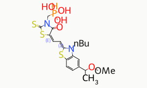 CCCCN1/C(=C/C=C2/SC(=S)N(C[PH](O)(O)O)C2=O)Sc2ccc(C(C)OOC)cc21